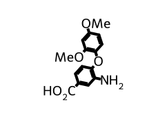 COc1ccc(Oc2ccc(C(=O)O)cc2N)c(OC)c1